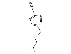 C#Cc1ncc(CCCCC)cn1